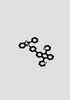 c1ccc(-c2nc3ccccc3n2-c2ccc(-c3ccc4c(-c5ccccn5)c5ccccc5c(-c5ccccn5)c4c3)cc2)cc1